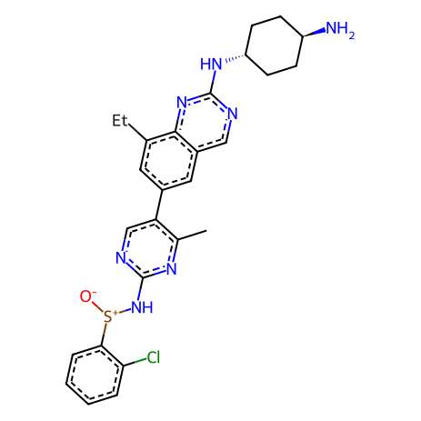 CCc1cc(-c2cnc(N[S+]([O-])c3ccccc3Cl)nc2C)cc2cnc(N[C@H]3CC[C@H](N)CC3)nc12